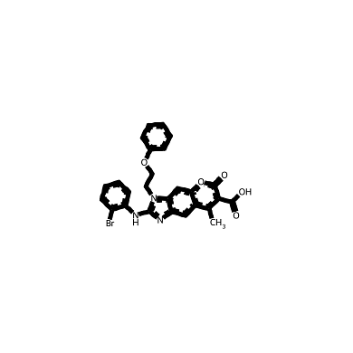 Cc1c(C(=O)O)c(=O)oc2cc3c(cc12)nc(Nc1ccccc1Br)n3CCOc1ccccc1